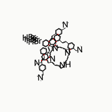 Br.Br.Br.Br.CN(C)Cc1ccc(C=Cc2ccccc2-c2c(-c3ccccc3C=Cc3ccc(CN(C)C)cc3)c3c(-c4ccccc4C=Cc4ccc(CN(C)C)cc4)c4nc(cc5ccc(cc6nc(cc2n3-c2ccccc2C=Cc2ccc(CN(C)C)cc2)C=C6)[nH]5)C=C4)cc1